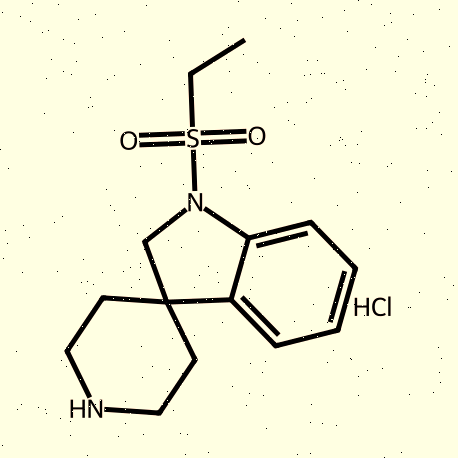 CCS(=O)(=O)N1CC2(CCNCC2)c2ccccc21.Cl